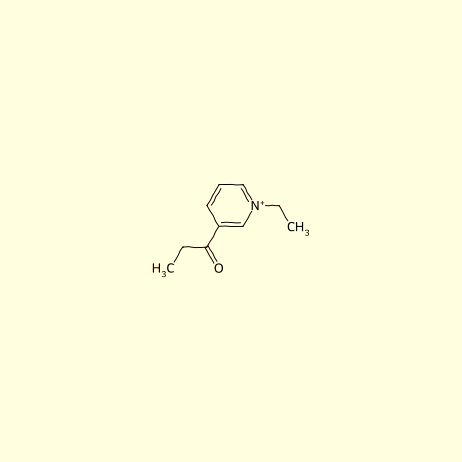 CCC(=O)c1ccc[n+](CC)c1